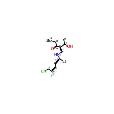 CC/C(=C\C=C(\F)CCl)N/C=C(\C(=O)CC(C)(C)C)C(C)O